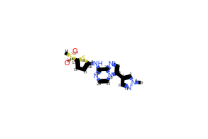 Cn1cc(-c2cnc3c(Nc4ccc(S(C)(=O)=O)s4)nccn23)cn1